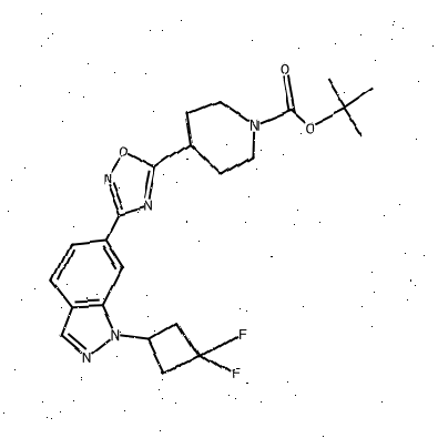 CC(C)(C)OC(=O)N1CCC(c2nc(-c3ccc4cnn(C5CC(F)(F)C5)c4c3)no2)CC1